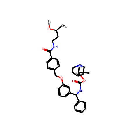 CCOC(C)CCNC(=O)c1ccc(COc2cccc(C(NC(=O)O[C@H]3CN4CCC3CC4)c3ccccc3)c2)cc1